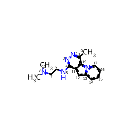 Cc1nnc(NCCN(C)C)c2cc3ccccn3c12